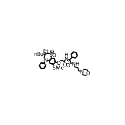 CCCCC1(CC)CN(c2ccccc2)c2cc(SC)c(OCC(=O)N[C@@H](C(=O)NCCCN3CCOCC3)c3ccccc3)cc2S(=O)(=O)C1